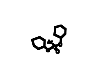 CC(=O)P(=O)(OC1CCCCC1)OC1CCCCC1